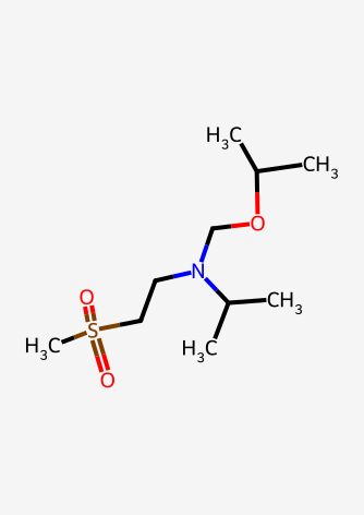 CC(C)OCN(CCS(C)(=O)=O)C(C)C